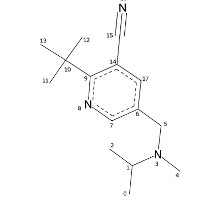 CC(C)N(C)Cc1cnc(C(C)(C)C)c(C#N)c1